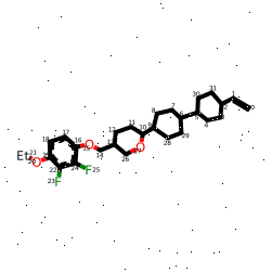 C=CC1CCC(C2CCC(C3CCC(COc4ccc(OCC)c(F)c4F)CO3)CC2)CC1